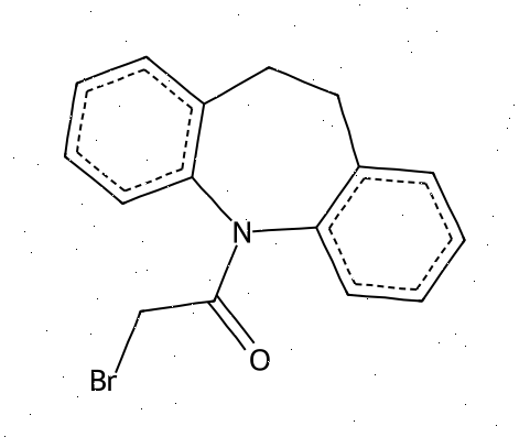 O=C(CBr)N1c2ccccc2CCc2ccccc21